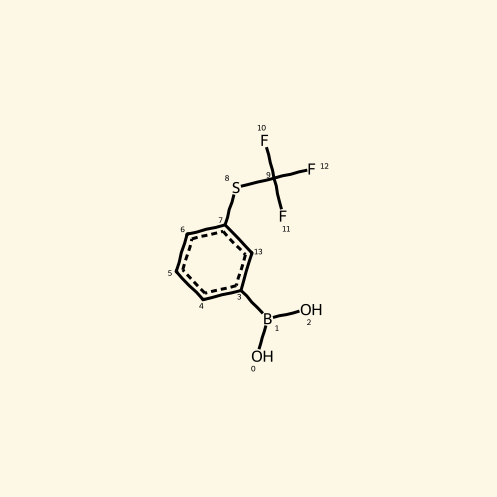 OB(O)c1cccc(SC(F)(F)F)c1